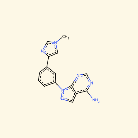 Cn1cnc(-c2cccc(-n3ncc4c(N)ncnc43)c2)c1